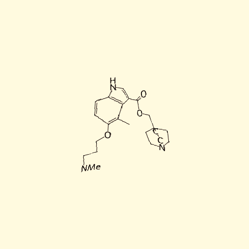 CNCCCOc1ccc2[nH]cc(C(=O)OCC34CCN(CC3)CC4)c2c1C